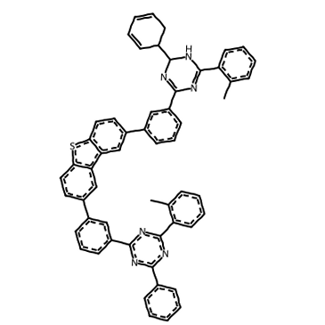 Cc1ccccc1C1=NC(c2cccc(-c3ccc4sc5ccc(-c6cccc(-c7nc(-c8ccccc8)nc(-c8ccccc8C)n7)c6)cc5c4c3)c2)=NC(C2C=CC=CC2)N1